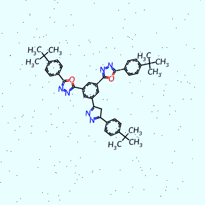 CC(C)(C)c1ccc(C2=NN=C(c3cc(-c4nnc(-c5ccc(C(C)(C)C)cc5)o4)cc(-c4nnc(-c5ccc(C(C)(C)C)cc5)o4)c3)C2)cc1